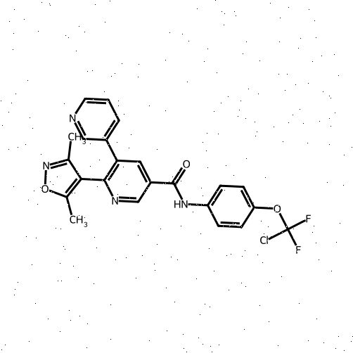 Cc1noc(C)c1-c1ncc(C(=O)Nc2ccc(OC(F)(F)Cl)cc2)cc1-c1cccnc1